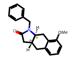 COc1cccc2c1C[C@H]1[C@@H](CC(=O)N1Cc1ccccc1)C2